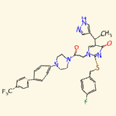 CC(c1cn[nH]c1)c1cn(CC(=O)N2CCN(c3ccc(-c4ccc(C(F)(F)F)cc4)cc3)CC2)c(SCc2ccc(F)cc2)nc1=O